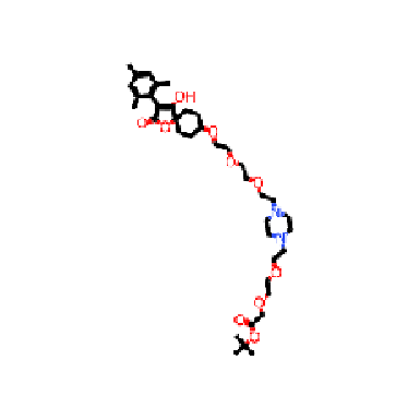 Cc1cc(C)c(C2=C(O)C3(CCC(OCCOCCOCCN4CCN(CCOCCOCC(=O)OC(C)(C)C)CC4)CC3)OC2=O)c(C)c1